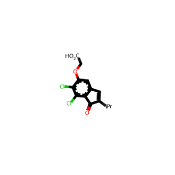 CC(C)C1=Cc2cc(OCC(=O)O)c(Cl)c(Cl)c2C1=O